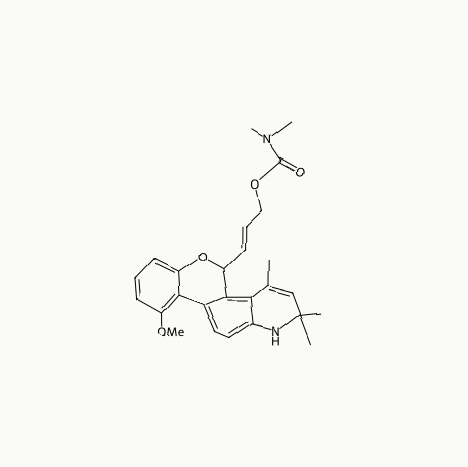 COc1cccc2c1-c1ccc3c(c1C(C=CCOC(=O)N(C)C)O2)C(C)=CC(C)(C)N3